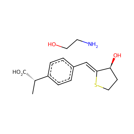 C[C@H](C(=O)O)c1ccc(/C=C2\SCC[C@@H]2O)cc1.NCCO